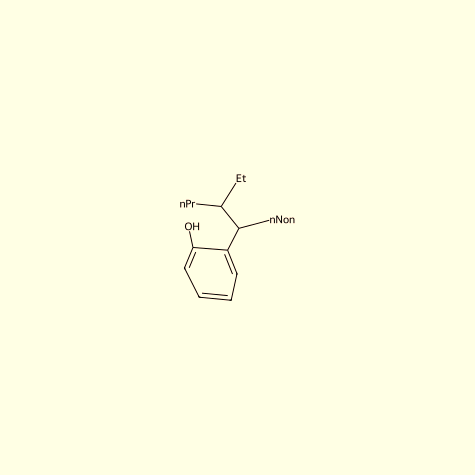 CCCCCCCCCC(c1ccccc1O)C(CC)CCC